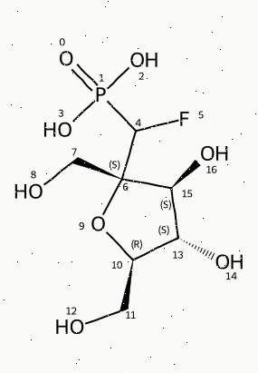 O=P(O)(O)C(F)[C@@]1(CO)O[C@H](CO)[C@@H](O)[C@@H]1O